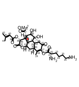 COC(=O)[C@@]12OC[C@]34C([C@@H](O)[C@@H]1O)[C@@]1(C)CC(=O)C(OC(=O)[C@@H](N)CCCCN)=C(C)[C@@H]1C[C@H]3OC(=O)[C@H](OC(=O)C=C(C)C)[C@@H]24